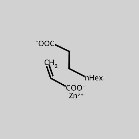 C=CC(=O)[O-].CCCCCCCCC(=O)[O-].[Zn+2]